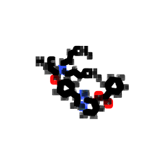 CCCCN(CCCC)C(CC)Oc1ccc(-c2cn3cccc(OC(=O)c4ccccc4)c3n2)cc1